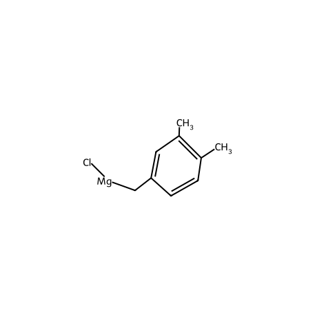 Cc1ccc([CH2][Mg][Cl])cc1C